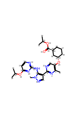 Cc1nc(-c2cnn(C)c2Nc2nccc(OC(C)C)n2)ncc1O[C@H]1CCC[C@H](C(=O)OC(C)C)C1